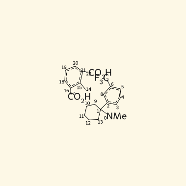 CNC1(c2cccc(C(F)(F)F)c2)CCCCC1.Cc1c(C(=O)O)cccc1C(=O)O